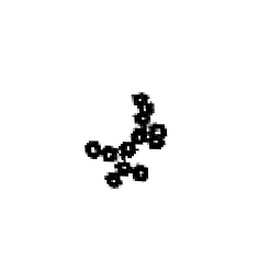 CC1(C)c2ccccc2-c2ccc(N(c3ccc(-c4ccc(N(c5ccc(-c6ccccc6)cc5)c5cc(-c6ccccc6)cc(-c6ccccc6)c5)cc4)cc3)c3cccc4ccccc34)cc21